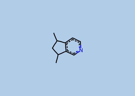 CC1CC(C)c2cnccc21